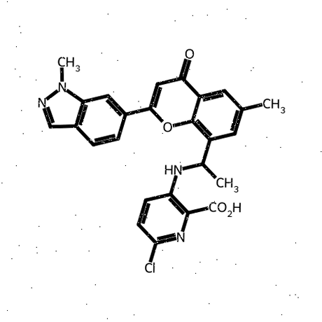 Cc1cc(C(C)Nc2ccc(Cl)nc2C(=O)O)c2oc(-c3ccc4cnn(C)c4c3)cc(=O)c2c1